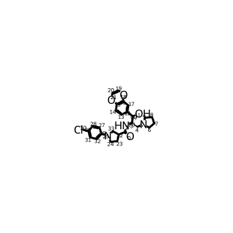 O=C(N[C@H](CN1CCCC1)[C@H](O)c1ccc2c(c1)OC=CO2)C1CCN(c2ccc(Cl)cc2)C1